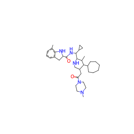 Cc1cccc2c1NC(C(=O)NC(C1CC1)C1NCC(CC(=O)N3CCN(C)CC3)C(C3CCCCCC3)C1C)C2